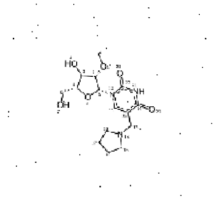 CO[C@H]1C(O)[C@@H](CO)O[C@H]1n1cc(CN2CCCC2)c(=O)[nH]c1=O